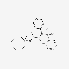 CC(NC1(C)CCCCCCC1)C1=Nc2ccncc2S(=O)(=O)N1c1ccccc1